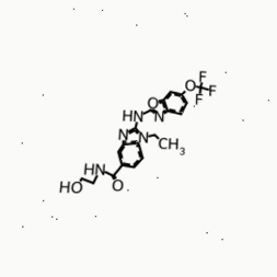 CCn1c(Nc2nc3ccc(OC(F)(F)F)cc3o2)nc2cc(C(=O)NCCO)ccc21